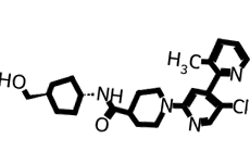 Cc1cccnc1-c1cc(N2CCC(C(=O)N[C@H]3CC[C@H](CO)CC3)CC2)ncc1Cl